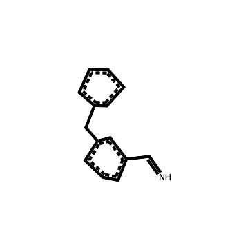 N=Cc1cccc(Cc2ccccc2)c1